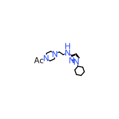 CC(=O)N1CCN(CCNc2ccn(C3CCCCC3)n2)CC1